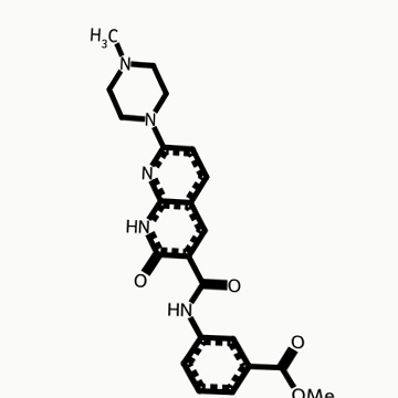 COC(=O)c1cccc(NC(=O)c2cc3ccc(N4CCN(C)CC4)nc3[nH]c2=O)c1